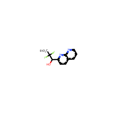 CCOC(=O)C(F)(F)C(O)c1ccc2cccnc2n1